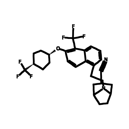 N#CC1CC2CCC(C1)N2CCc1cccc2c(C(F)(F)F)c(O[C@H]3CC[C@@H](C(F)(F)F)CC3)ccc12